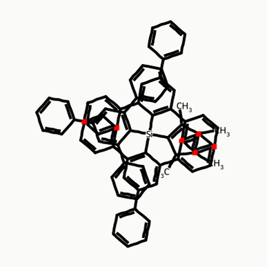 CC1=C(C)C(C)C([Si](c2c(-c3ccccc3)cc(-c3ccccc3)cc2-c2ccccc2)(c2c(-c3ccccc3)cc(-c3ccccc3)cc2-c2ccccc2)c2c(-c3ccccc3)cc(-c3ccccc3)cc2-c2ccccc2)=C1C